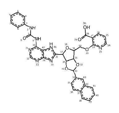 O=C(Nc1ccccc1)Nc1ncnc2nc(C3OC(COc4ncccc4C(=O)O)C4OC(c5ccc6ccccc6c5)OC34)[nH]c12